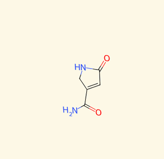 NC(=O)C1=CC(=O)NC1